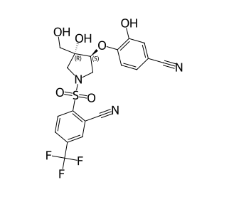 N#Cc1ccc(O[C@H]2CN(S(=O)(=O)c3ccc(C(F)(F)F)cc3C#N)C[C@@]2(O)CO)c(O)c1